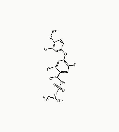 CC(C)Oc1ccc(Oc2cc(F)c(C(=O)NS(=O)(=O)N(C)C)cc2F)cc1Cl